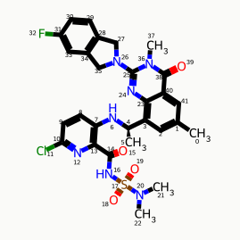 Cc1cc([C@@H](C)Nc2ccc(Cl)nc2C(=O)NS(=O)(=O)N(C)C)c2nc(N3Cc4ccc(F)cc4C3)n(C)c(=O)c2c1